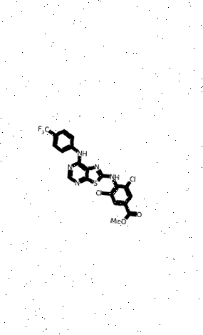 COC(=O)c1cc(Cl)c(Nc2nc3c(Nc4ccc(C(F)(F)F)cc4)ncnc3s2)c(Cl)c1